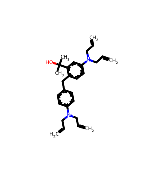 C=CCN(CC=C)c1ccc(Cc2ccc(N(CC=C)CC=C)cc2C(C)(C)O)cc1